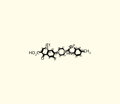 CCn1cc(C(=O)O)c(=O)c2cc(F)c(N3CCN(C(=S)Nc4ccc(C)cc4Br)CC3)cc21